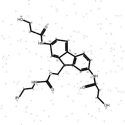 CC(C)CCNC(=O)OCC1c2cc(NC(=O)CCO)ccc2-c2ccc(NC(=O)CCO)cc21